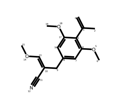 C=C(C)c1c(OC)cc(CC(C#N)=COC)cc1OC